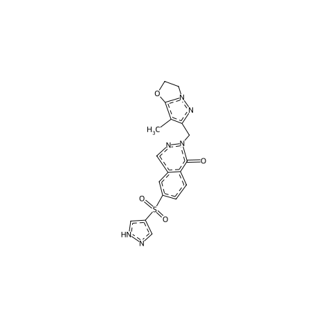 Cc1c(Cn2ncc3cc(S(=O)(=O)c4cn[nH]c4)ccc3c2=O)nn2c1OCC2